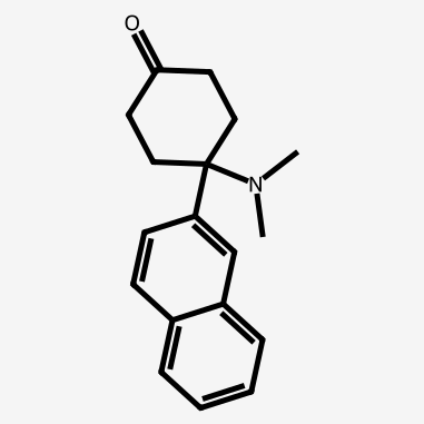 CN(C)C1(c2ccc3ccccc3c2)CCC(=O)CC1